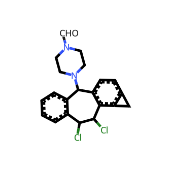 O=CN1CCN(C2c3ccccc3C(Cl)C(Cl)c3c2ccc2c3C2)CC1